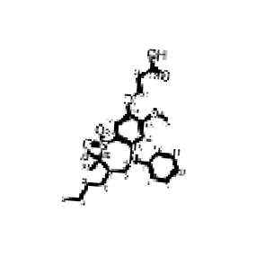 CCCCC1CN(c2ccccc2)c2cc(SC)c(O/C=C/C(=O)O)cc2S(=O)(=O)C1(C)C